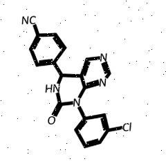 N#Cc1ccc(C2NC(=O)N(c3cccc(Cl)c3)c3ncncc32)cc1